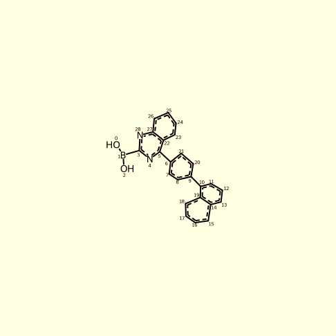 OB(O)c1nc(-c2ccc(-c3cccc4ccccc34)cc2)c2ccccc2n1